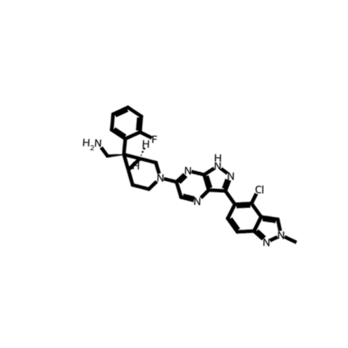 Cn1cc2c(Cl)c(-c3n[nH]c4nc(N5CC[C@@H]6[C@H](C5)[C@@]6(CN)c5ccccc5F)cnc34)ccc2n1